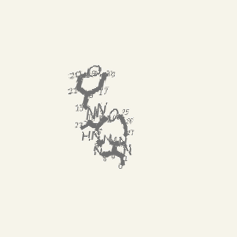 Cc1nn2c3nc(ncc13)Nc1c(nn(CC3CCOCC3)c1C)OCCC2